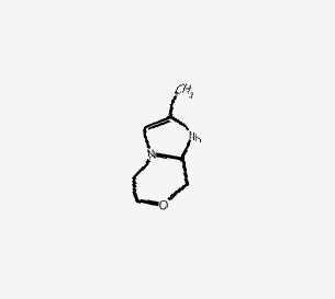 CC1=CN2CCOCC2N1